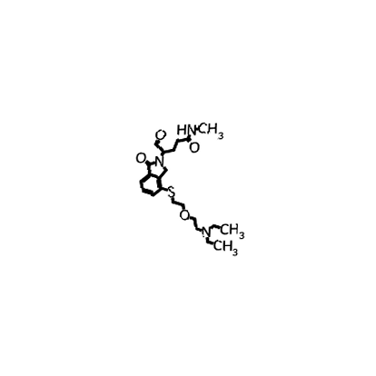 CCN(CC)CCOCCSc1cccc2c1CN(C(C=O)CCC(=O)NC)C2=O